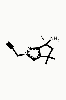 C#CCn1cc2c(n1)[C@@](C)(N)CC2(C)C